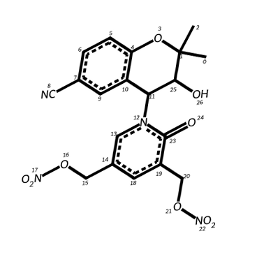 CC1(C)Oc2ccc(C#N)cc2C(n2cc(CO[N+](=O)[O-])cc(CO[N+](=O)[O-])c2=O)C1O